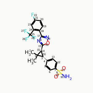 CC1(C)[C@@H](c2ccc(S(N)(=O)=O)cc2)[C@@H]1c1nc(-c2ccc(F)cc2C(F)(F)F)no1